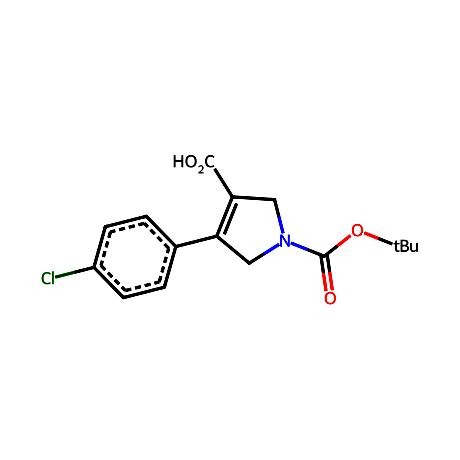 CC(C)(C)OC(=O)N1CC(C(=O)O)=C(c2ccc(Cl)cc2)C1